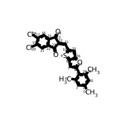 Cc1cc(C)c(-c2cc3sc(C=C4C(=O)c5cc(Cl)c(Cl)cc5C4=O)cc3o2)c(C)c1